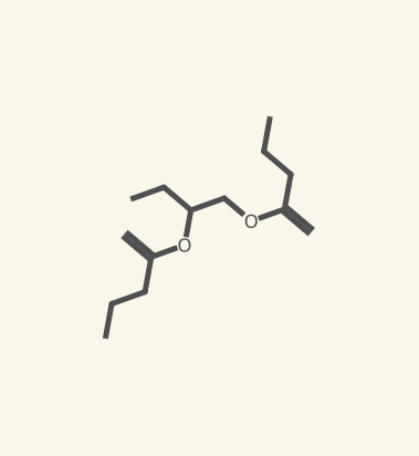 C=C(CCC)OCC(CC)OC(=C)CCC